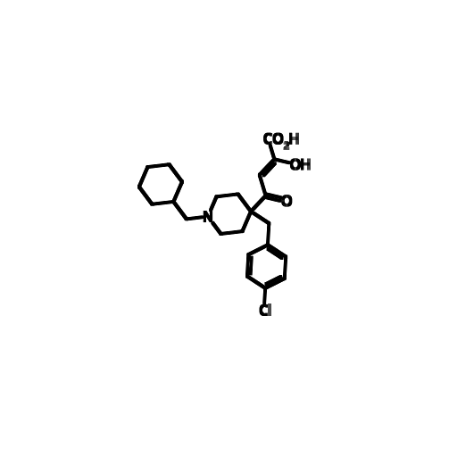 O=C(O)C(O)=CC(=O)C1(Cc2ccc(Cl)cc2)CCN(CC2CCCCC2)CC1